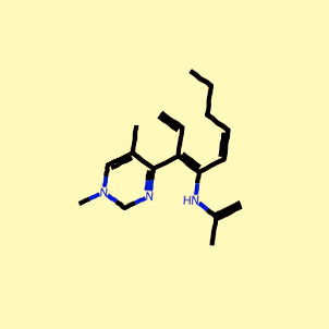 C=C/C(C1=NCN(C)C=C1C)=C(\C=C/CCC)NC(=C)C